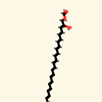 CCCCCCCCCCCCCCCCCCCCCCC(O)COC=O